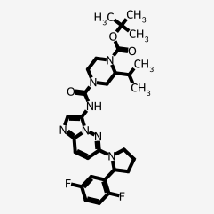 CC(C)C1CN(C(=O)Nc2cnc3ccc(N4CCCC4c4cc(F)ccc4F)nn23)CCN1C(=O)OC(C)(C)C